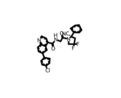 N#C[C@]1(c2ccccc2)CC(F)(F)CN1C(=O)CNC(=O)c1ccnc2ccc(-c3ccc(Cl)cc3)cc12